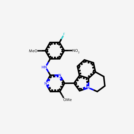 COc1cc(F)c([N+](=O)[O-])cc1Nc1ncc(OC)c(-c2cn3c4c(cccc24)CCC3)n1